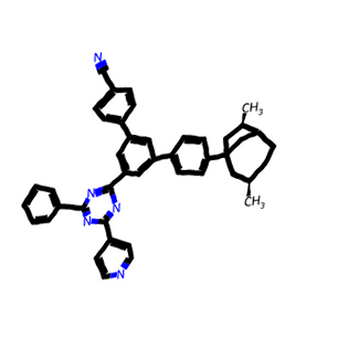 C[C@@H]1CCC2CC(c3ccc(-c4cc(-c5ccc(C#N)cc5)cc(-c5nc(-c6ccccc6)nc(-c6ccncc6)n5)c4)cc3)(C1)C[C@H]2C